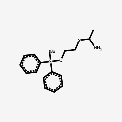 CC(N)SCCO[Si](c1ccccc1)(c1ccccc1)C(C)(C)C